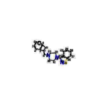 c1ccc2c(c1)C[C@H]2CN1CCN(c2nsc3ccccc23)CC1